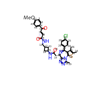 COc1ccc(C(=O)/C=C/C(=O)NCC2CC(NC(=O)C[C@@H]3N=C(c4ccc(Cl)cc4)c4c(sc(C)c4C)-n4c(C)nnc43)C2)cc1